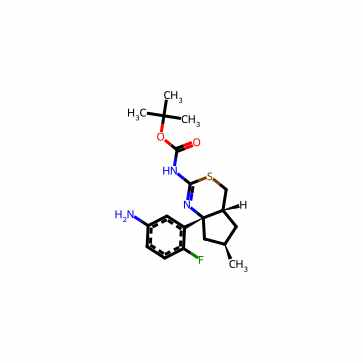 C[C@@H]1C[C@H]2CSC(NC(=O)OC(C)(C)C)=N[C@@]2(c2cc(N)ccc2F)C1